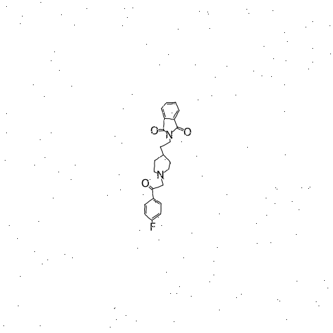 O=C(CN1CCC(CCN2C(=O)c3ccccc3C2=O)CC1)c1ccc(F)cc1